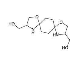 OCC1COC2(CCC3(CC2)NC(CO)CO3)N1